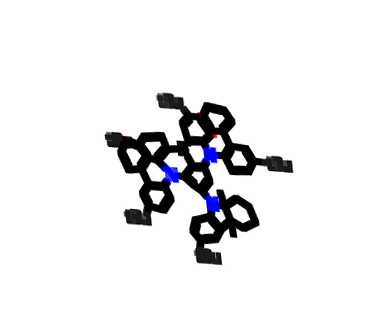 CC(C)(C)c1ccc2c(c1)B1c3ccc(C(C)(C)C)cc3N(c3ccc(C(C)(C)C)cc3-c3ccccc3)c3cc(N4c5ccc(C(C)(C)C)cc5C5(C)CCCCC45C)cc(c31)N2c1ccc(C(C)(C)C)cc1-c1ccccc1